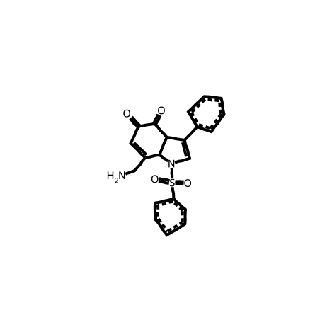 NCC1=CC(=O)C(=O)C2C(c3ccccc3)=CN(S(=O)(=O)c3ccccc3)C12